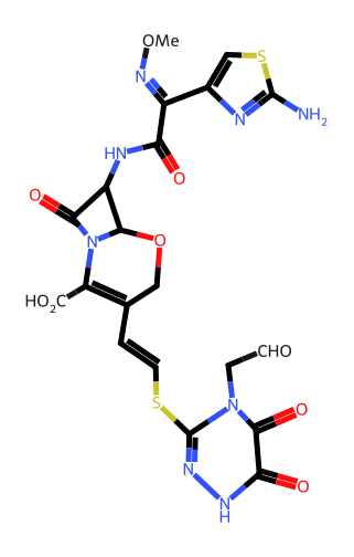 CON=C(C(=O)NC1C(=O)N2C(C(=O)O)=C(C=CSc3n[nH]c(=O)c(=O)n3CC=O)COC12)c1csc(N)n1